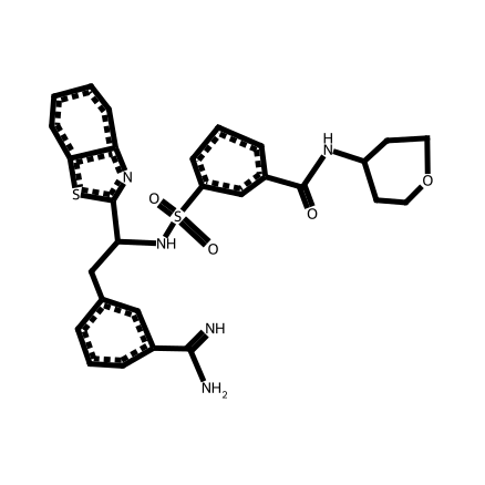 N=C(N)c1cccc(CC(NS(=O)(=O)c2cccc(C(=O)NC3CCOCC3)c2)c2nc3ccccc3s2)c1